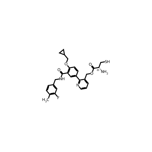 Cc1ccc(CNC(=O)c2cc(-c3ncccc3COC(=O)[C@@H](N)CS)ccc2OCC2CC2)cc1F